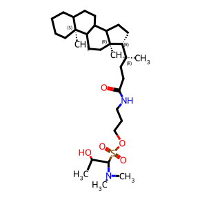 CC(O)C(N(C)C)S(=O)(=O)OCCCNC(=O)CC[C@@H](C)[C@H]1CCC2C3CCC4CCCC[C@]4(C)C3CC[C@@]21C